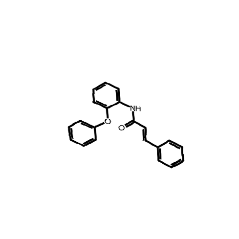 O=C(C=Cc1ccccc1)Nc1ccccc1Oc1ccccc1